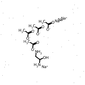 CC(=O)[O-].CC(=O)[O-].CC(=O)[O-].CC(=O)[O-].NCC(N)O.[Na+].[Na+].[Na+].[Na+]